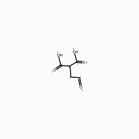 O=CCC(C(=O)O)C(=O)O